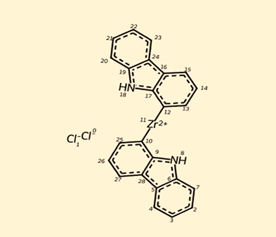 [Cl-].[Cl-].c1ccc2c(c1)[nH]c1[c]([Zr+2][c]3cccc4c3[nH]c3ccccc34)cccc12